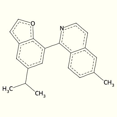 Cc1ccc2c(-c3cc(C(C)C)cc4ccoc34)nccc2c1